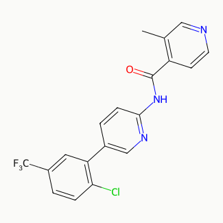 Cc1cnccc1C(=O)Nc1ccc(-c2cc(C(F)(F)F)ccc2Cl)cn1